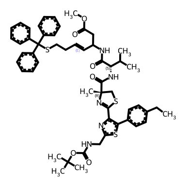 CCc1ccc(-c2sc(CNC(=O)OC(C)(C)C)nc2C2=N[C@](C)(C(=O)N[C@H](C(=O)NC(/C=C/CCSC(c3ccccc3)(c3ccccc3)c3ccccc3)CC(=O)OC)C(C)C)CS2)cc1